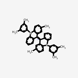 Cc1cc(C)cc(N2c3ccccc3/C(=C3/c4ccccc4N(c4cc(C)cc(C)c4)c4ccc(C)cc43)c3cc(C)ccc32)c1